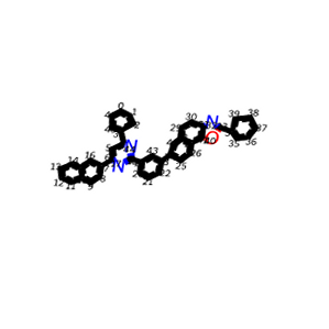 c1ccc(-c2cc(-c3ccc4ccccc4c3)nc(-c3cccc(-c4ccc5c(ccc6nc(-c7ccccc7)oc65)c4)c3)n2)cc1